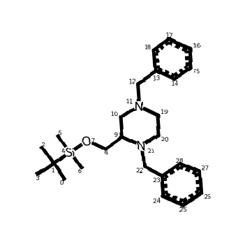 CC(C)(C)[Si](C)(C)OCC1CN(Cc2ccccc2)CCN1Cc1ccccc1